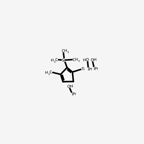 CC(C)O.CC(C)O.CC(C)O.CC1=CC[C]([Ti])=C1[Si](C)(C)C